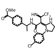 COC(=O)c1ccc(C(C)NC(=O)/C(C(=N)C(F)(F)F)=C2/NCCN2c2ccc(Cl)cc2)cc1